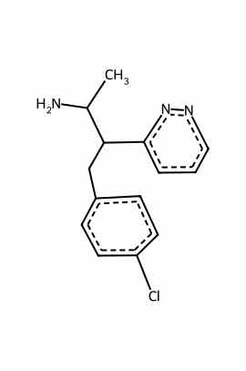 CC(N)C(Cc1ccc(Cl)cc1)c1cccnn1